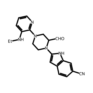 CCNc1cccnc1N1CCN(c2cc3ccc(C#N)cc3[nH]2)C(C=O)C1